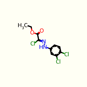 CCOC(=O)/C(Cl)=N/Nc1ccc(Cl)c(Cl)c1